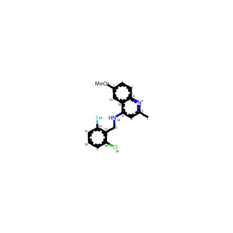 COc1ccc2nc(C)cc(NCc3c(F)cccc3Cl)c2c1